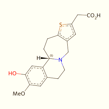 COc1cc2c(cc1O)[C@@H]1CCc3sc(CC(=O)O)cc3CN1CC2